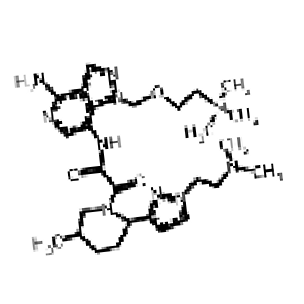 CC1CCC(c2ccn(CCN(C)C)n2)N(C(=O)C(=O)Nc2cnc(N)c3cnn(COCC[Si](C)(C)C)c23)C1